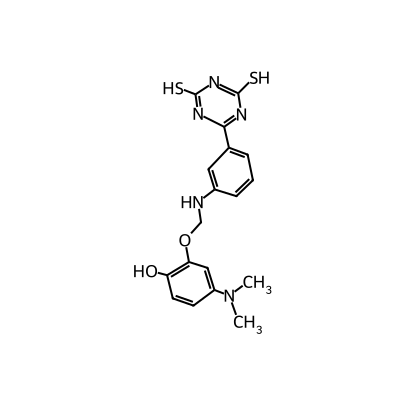 CN(C)c1ccc(O)c(OCNc2cccc(-c3nc(S)nc(S)n3)c2)c1